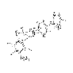 Cc1c(C)c([N+](=O)[O-])c(C)c2c1OC(C)(CNc1ccc(-c3ncc[nH]3)cc1)C2